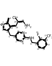 C=c1[nH]cc(Cc2cnc(NCc3cccc(C(F)(F)F)c3F)nc2)/c1=C/C(Cl)=C\N